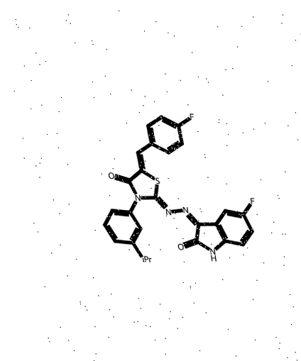 CC(C)c1cccc(N2C(=O)C(=Cc3ccc(F)cc3)SC2=NN=C2C(=O)Nc3ccc(F)cc32)c1